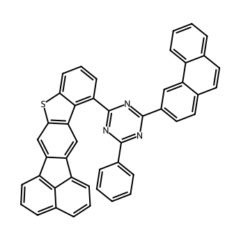 c1ccc(-c2nc(-c3ccc4ccc5ccccc5c4c3)nc(-c3cccc4sc5cc6c(cc5c34)-c3cccc4cccc-6c34)n2)cc1